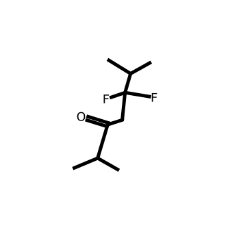 CC(C)C(=O)CC(F)(F)C(C)C